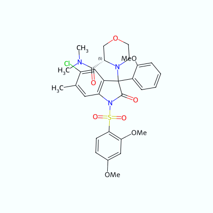 COc1ccc(S(=O)(=O)N2C(=O)C(c3ccccc3OC)(N3CCOC[C@H]3C(=O)N(C)C)c3cc(Cl)c(C)cc32)c(OC)c1